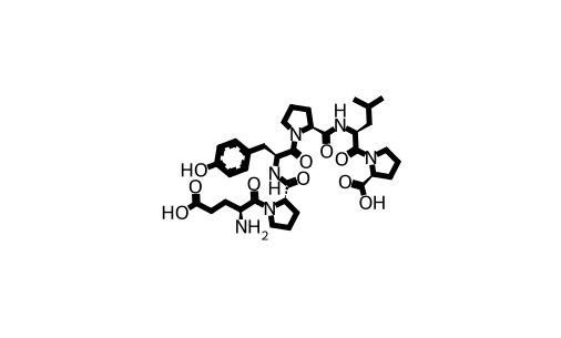 CC(C)C[C@H](NC(=O)[C@@H]1CCCN1C(=O)[C@H](Cc1ccc(O)cc1)NC(=O)[C@@H]1CCCN1C(=O)[C@@H](N)CCC(=O)O)C(=O)N1CCC[C@H]1C(=O)O